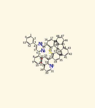 c1ccc(-c2cc(-c3ccccc3)nc(-c3cccc4c3Sc3c(-c5cccc6cccnc56)cccc3C43c4ccccc4-c4ccccc43)n2)cc1